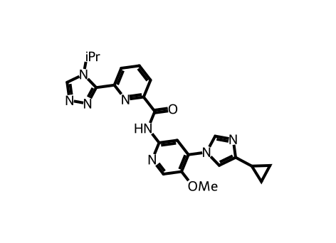 COc1cnc(NC(=O)c2cccc(-c3nncn3C(C)C)n2)cc1-n1cnc(C2CC2)c1